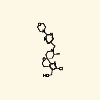 C[C@H]1C[C@@]2(CCN1Cc1cnc(N3CCOCC3)nc1)OCCc1c2sc(Cl)c1CO